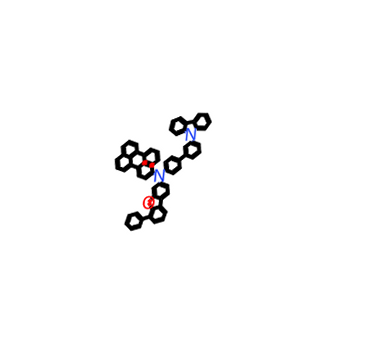 c1ccc(-c2cccc3c2oc2cc(N(c4ccc(-c5cccc(-n6c7ccccc7c7ccccc76)c5)cc4)c4ccc(-c5cccc6cccc(-c7ccccc7)c56)cc4)ccc23)cc1